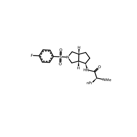 CCC[C@H](NC)C(=O)N[C@@H]1CC[C@H]2CN(S(=O)(=O)c3ccc(F)cc3)C[C@H]21